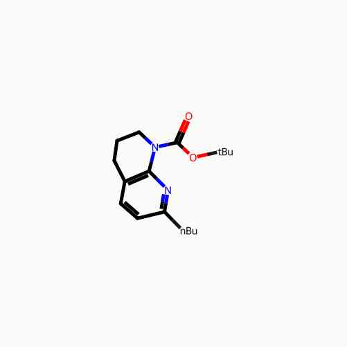 CCCCc1ccc2c(n1)N(C(=O)OC(C)(C)C)CCC2